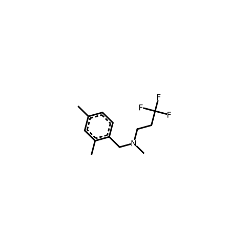 Cc1ccc(CN(C)CCC(F)(F)F)c(C)c1